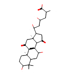 CC(CC(O)C[C@](C)(O)C1CC(=O)[C@@]2(C)C3=C(C(=O)C[C@]12C)[C@@]1(C)CCC(O)C(C)(C)C1CC3O)C(=O)O